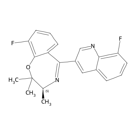 C[C@@H]1N=C(c2cnc3c(F)cccc3c2)c2cccc(F)c2OC1(C)C